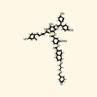 CCCc1ccc(/C(=C2/Sc3c(c(C)c4[nH]c(C#C/C=C/c5ccc(CCC)cc5F)nc4c3OC(=O)c3ccc(OC(=O)c4ccc5cc(OCCCOCC6CCC7OC7C6)ccc5c4)c(OC)c3)S2)c2ccc(C#N)cc2)cc1